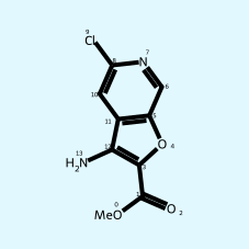 COC(=O)c1oc2cnc(Cl)cc2c1N